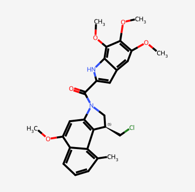 COc1cc2cc(C(=O)N3C[C@@H](CCl)c4c3cc(OC)c3cccc(C)c43)[nH]c2c(OC)c1OC